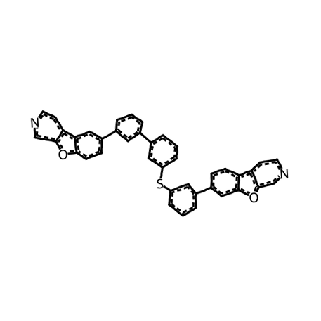 c1cc(Sc2cccc(-c3ccc4c(c3)oc3cnccc34)c2)cc(-c2cccc(-c3ccc4oc5cnccc5c4c3)c2)c1